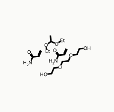 C=CC(N)=O.C=CC(N)=O.CCOC(C)OCC.OCCOCCOCCO